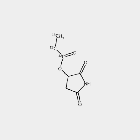 [13CH3][13CH2][13C](=O)OC1CC(=O)NC1=O